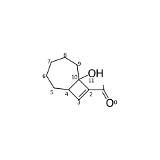 O=CC1=CC2CCCCCC12O